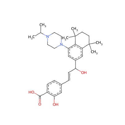 CC(C)N1CCN(c2cc(C(O)C=Cc3ccc(C(=O)O)c(O)c3)cc3c2C(C)(C)CCC3(C)C)CC1